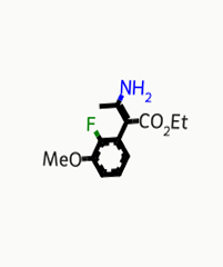 CCOC(=O)/C(=C(/C)N)c1cccc(OC)c1F